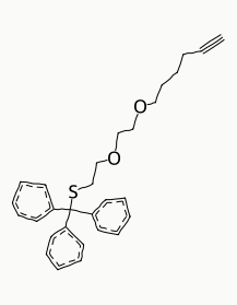 C#CCCCCOCCOCCSC(c1ccccc1)(c1ccccc1)c1ccccc1